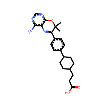 CC1(C)Oc2ncnc(N)c2N=C1c1ccc(C2CCC(CCC(=O)O)CC2)cc1